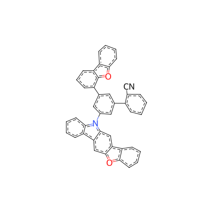 N#Cc1ccccc1-c1cc(-c2cccc3c2oc2ccccc23)cc(-n2c3ccccc3c3cc4oc5ccccc5c4cc32)c1